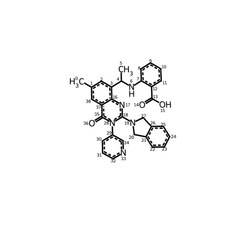 Cc1cc(C(C)Nc2ccccc2C(=O)O)c2nc(N3Cc4ccccc4C3)n(-c3cccnc3)c(=O)c2c1